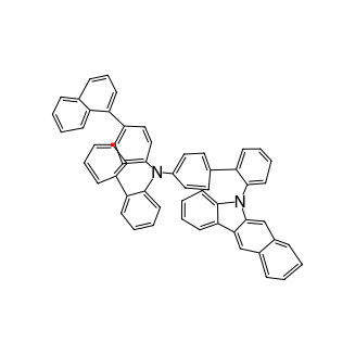 c1ccc(-c2ccccc2N(c2ccc(-c3ccccc3-n3c4ccccc4c4cc5ccccc5cc43)cc2)c2ccc(-c3cccc4ccccc34)cc2)cc1